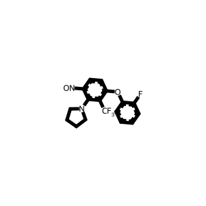 O=Nc1ccc(Oc2ccccc2F)c(C(F)(F)F)c1N1CCCC1